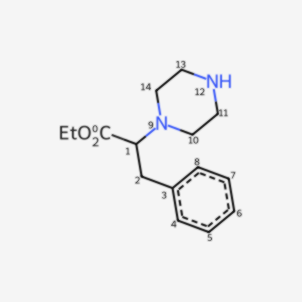 CCOC(=O)C(Cc1ccccc1)N1CCNCC1